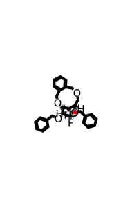 F[C@@H]1O[C@@H]2COCc3ccccc3CO[C@H]([C@H]1OCc1ccccc1)[C@@H]2OCc1ccccc1